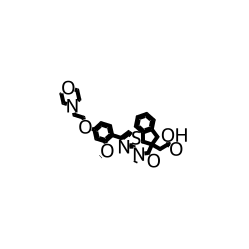 COc1cc(OCCN2CCOCC2)ccc1-c1csc(N(C)C(=O)C2(CC(=O)O)Cc3ccccc3C2)n1